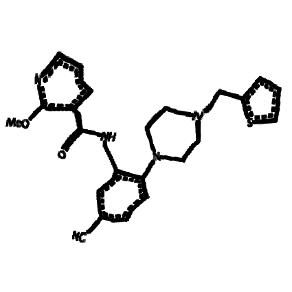 COc1ncccc1C(=O)Nc1cc(C#N)ccc1N1CCN(Cc2cccs2)CC1